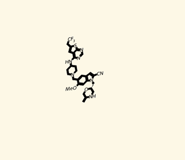 C=C1CO[C@H](Cn2c(C#N)cc3cc(CN4CCC(Nc5ncnc6sc(CC(F)(F)F)cc56)CC4)c(OC)cc32)CN1